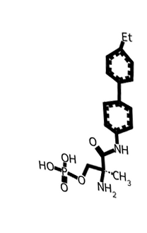 CCc1ccc(-c2ccc(NC(=O)[C@@](C)(N)COP(=O)(O)O)cc2)cc1